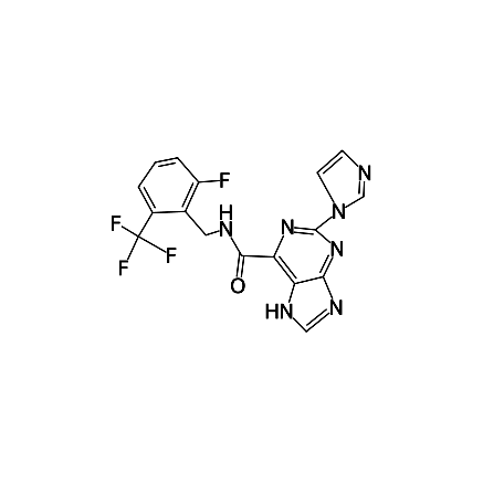 O=C(NCc1c(F)cccc1C(F)(F)F)c1nc(-n2ccnc2)nc2nc[nH]c12